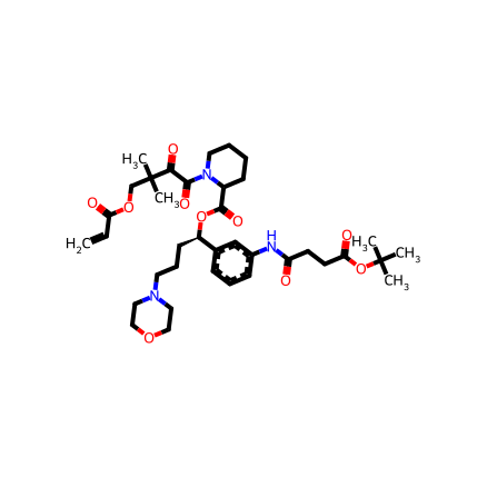 C=CC(=O)OCC(C)(C)C(=O)C(=O)N1CCCCC1C(=O)O[C@H](CCCN1CCOCC1)c1cccc(NC(=O)CCC(=O)OC(C)(C)C)c1